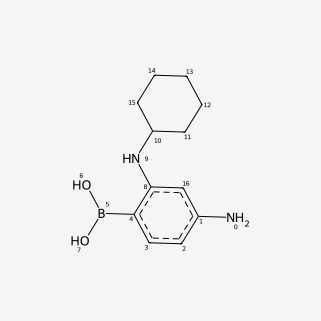 Nc1ccc(B(O)O)c(NC2CCCCC2)c1